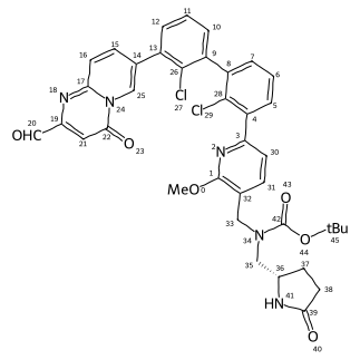 COc1nc(-c2cccc(-c3cccc(-c4ccc5nc(C=O)cc(=O)n5c4)c3Cl)c2Cl)ccc1CN(C[C@@H]1CCC(=O)N1)C(=O)OC(C)(C)C